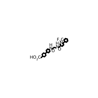 O=C(O)CC1CCC(c2ccc(NC(=O)CCNC(=O)c3ccc(-c4ccccc4C(F)(F)F)nc3)cc2)CC1